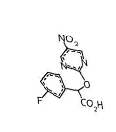 O=C(O)C(Oc1ncc([N+](=O)[O-])cn1)c1cccc(F)c1